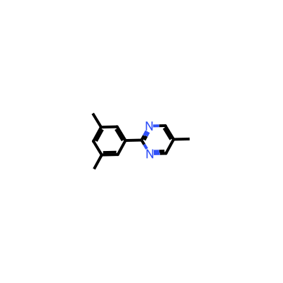 Cc1cnc(-c2cc(C)cc(C)c2)nc1